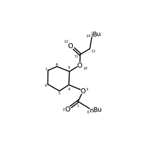 CCCCC(=O)OC1CCCCC1OC(=O)CC(C)CC